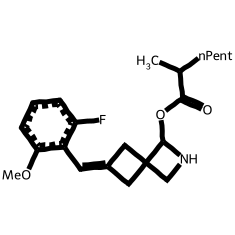 CCCCCC(C)C(=O)OC1NCC12CC(=Cc1c(F)cccc1OC)C2